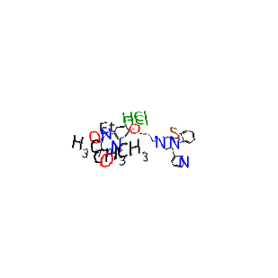 CCN1C(=O)C(C)(C)C(=O)N(C)c2cc(OCCCN(CCc3cccnc3)Cc3nc4ccccc4s3)ccc21.Cl.Cl